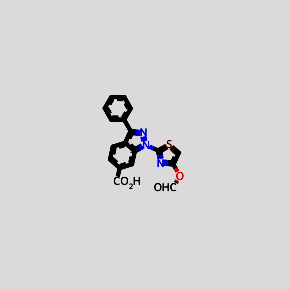 O=COc1csc(-n2nc(-c3ccccc3)c3ccc(C(=O)O)cc32)n1